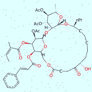 C/C=C(/C)C(=O)O[C@H]1[C@@H](OC(C)=O)[C@@H]2O[C@@H]3[C@@H](O[C@@H](CCC)CCCCC[C@H](O)C(=O)CCC(=O)OC[C@H](O2)[C@H]1OC(=O)/C=C/c1ccccc1)O[C@@H](C)[C@H](OC(C)=O)[C@H]3OC(C)=O